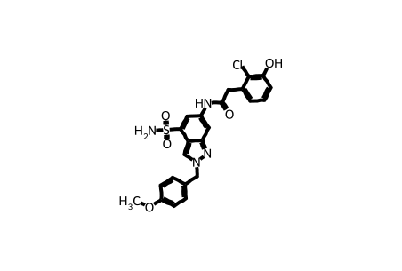 COc1ccc(Cn2cc3c(S(N)(=O)=O)cc(NC(=O)Cc4cccc(O)c4Cl)cc3n2)cc1